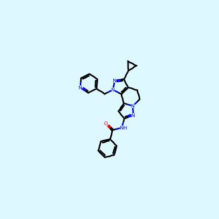 O=C(Nc1cc2n(n1)CCc1c(C3CC3)nn(Cc3cccnc3)c1-2)c1ccccc1